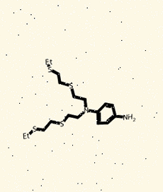 CCSCCSCCN(CCSCCSCC)c1ccc(N)cc1